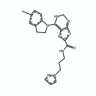 O=C(NCCCn1cccn1)c1nc2c(s1)=NCNC=2N1CCc2cc(I)ccc21